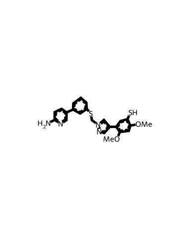 COc1cc(OC)c(-c2cnn(CSc3cccc(-c4ccc(N)nc4)c3)c2)cc1S